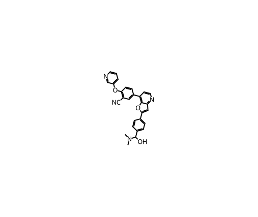 CN(C)C(O)c1ccc(-c2cc3nccc(-c4ccc(Oc5cccnc5)c(C#N)c4)c3o2)cc1